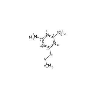 CCCc1nc(N)nc(N)n1